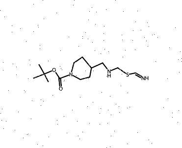 CC(C)(C)OC(=O)N1CCC(CNCSC=N)CC1